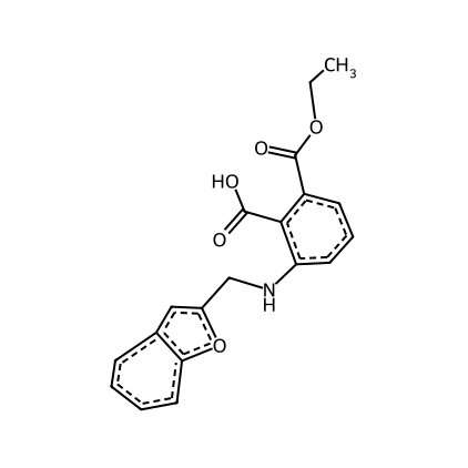 CCOC(=O)c1cccc(NCc2cc3ccccc3o2)c1C(=O)O